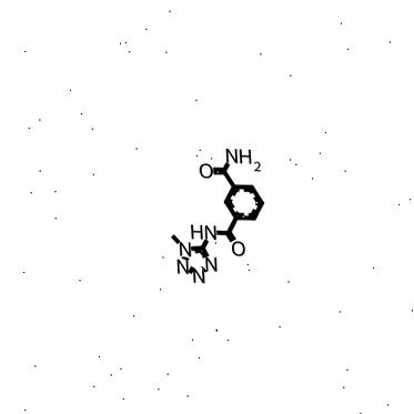 Cn1nnnc1NC(=O)c1cccc(C(N)=O)c1